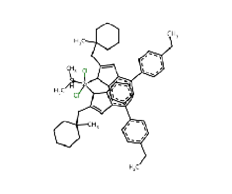 CCc1ccc(-c2cccc3c2C=C(CC2(C)CCCCC2)[CH]3[Zr]([Cl])([Cl])([CH]2C(CC3(C)CCCCC3)=Cc3c(-c4ccc(CC)cc4)cccc32)[SiH](C)C)cc1